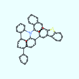 c1ccc(-c2ccc(-c3ccccc3N(c3ccccc3-c3ccc4sc5ccccc5c4c3)c3cccc4ccccc34)cc2)cc1